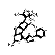 COc1cc2c(cc1C1=C(C)ONC1(C)C)[nH]c1nc(C)nc(-c3cn(-c4ccccc4)cn3)c12